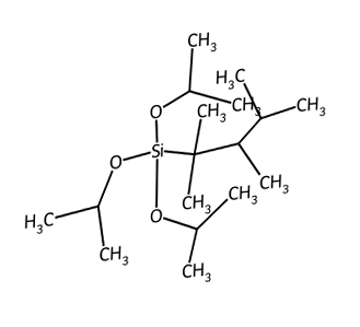 CC(C)O[Si](OC(C)C)(OC(C)C)C(C)(C)C(C)C(C)C